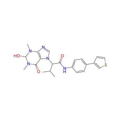 CC(C)C(C(=O)Nc1ccc(-c2ccsc2)cc1)n1cnc2c1C(=O)N(C)C(O)N2C